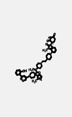 CN(C(=O)C1(c2ccnn2C)CCN(c2cnnc(-c3ccccc3O)c2)CC1)C1CCN(CCC2CCN(c3cccc4c3n(C)c(=O)n4[C@@H]3CCC(=O)NC3=O)CC2)CC1